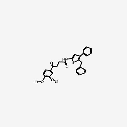 CCOc1ccc(C(=O)CCC(=O)Nc2cc(-c3ccccc3)c(Cc3ccccc3)s2)cc1OCC